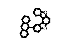 c1ccc2c(-c3ccc4oc5ccc6oc7ccccc7c6c5c4c3)c3ccccc3cc2c1